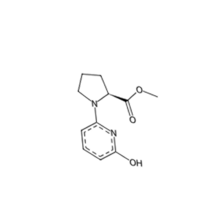 COC(=O)[C@@H]1CCCN1c1cccc(O)n1